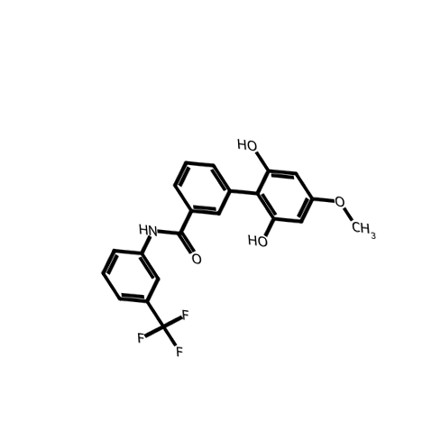 COc1cc(O)c(-c2cccc(C(=O)Nc3cccc(C(F)(F)F)c3)c2)c(O)c1